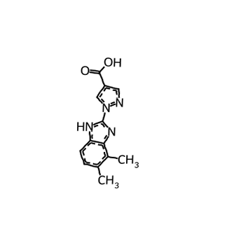 Cc1ccc2[nH]c(-n3cc(C(=O)O)cn3)nc2c1C